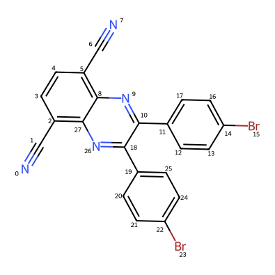 N#Cc1ccc(C#N)c2nc(-c3ccc(Br)cc3)c(-c3ccc(Br)cc3)nc12